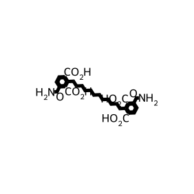 NC(=O)c1ccc(C(=O)O)c(CCCCCCCCCCCCc2c(C(=O)O)ccc(C(N)=O)c2C(=O)O)c1C(=O)O